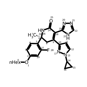 CCCCCCOc1ccc([C@]2(C)CC(c3ccn(C4CC4)n3)=C(c3nnc[nH]3)C(=O)N2)c(F)c1